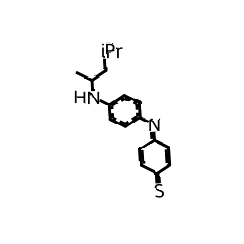 CC(C)CC(C)Nc1ccc(N=C2C=CC(=S)C=C2)cc1